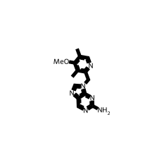 COc1c(C)cnc(Cn2cnc3cnc(N)nc32)c1C